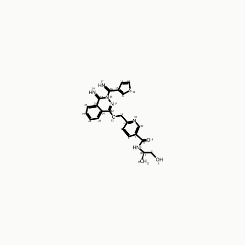 C[C@H](CO)NC(=O)c1ccc(COc2nn(C(=N)c3ccsc3)c(=N)c3ccccc23)nc1